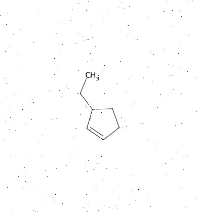 C[CH]C1C=CCC1